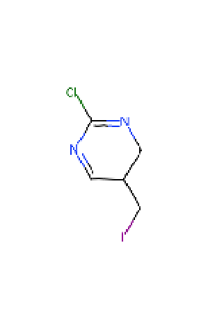 ClC1=NCC(CI)C=N1